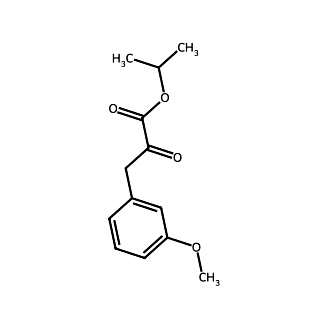 COc1cccc(CC(=O)C(=O)OC(C)C)c1